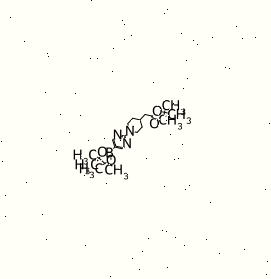 CC(C)(C)OC(=O)CC1CCN(c2ncc(B3OC(C)(C)C(C)(C)O3)cn2)CC1